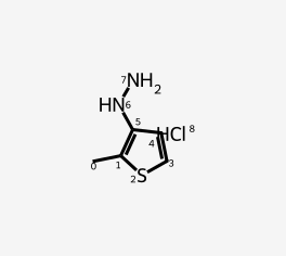 Cc1sccc1NN.Cl